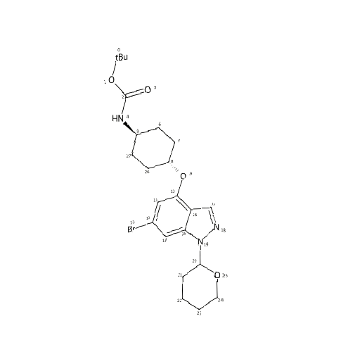 CC(C)(C)OC(=O)N[C@H]1CC[C@H](Oc2cc(Br)cc3c2cnn3C2CCCCO2)CC1